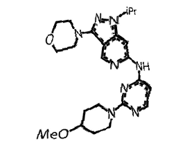 COC1CCN(c2nccc(Nc3cc4c(cn3)c(N3CCOCC3)nn4C(C)C)n2)CC1